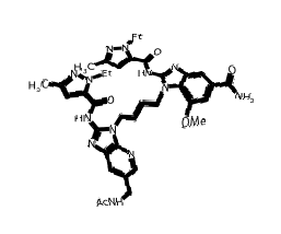 CCn1nc(C)cc1C(=O)Nc1nc2cc(CNC(C)=O)cnc2n1C/C=C/Cn1c(NC(=O)c2cc(C)nn2CC)nc2cc(C(N)=O)cc(OC)c21